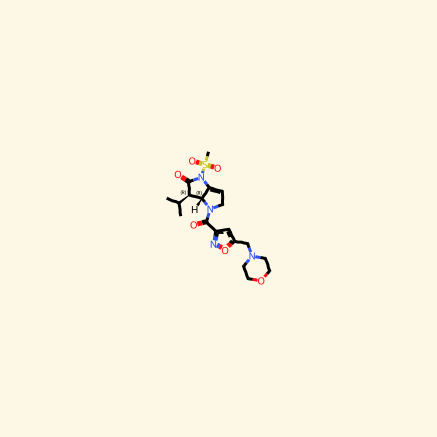 CC(C)[C@H]1C(=O)N(S(C)(=O)=O)C2=CCN(C(=O)c3cc(CN4CCOCC4)on3)[C@@H]21